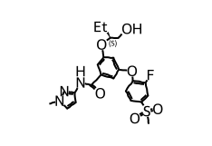 CC[C@@H](CO)Oc1cc(Oc2ccc(S(C)(=O)=O)cc2F)cc(C(=O)Nc2ccn(C)n2)c1